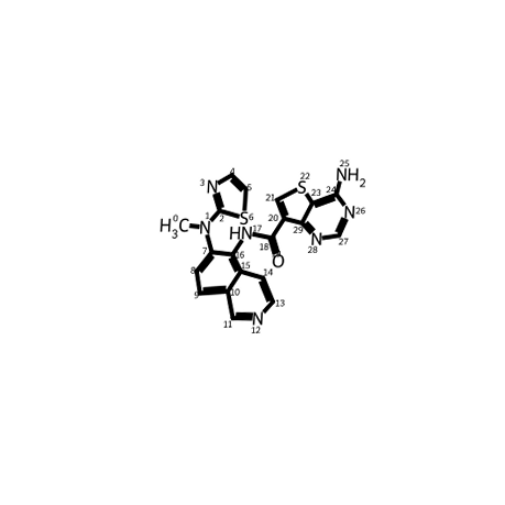 CN(c1nccs1)c1ccc2cnccc2c1NC(=O)c1csc2c(N)ncnc12